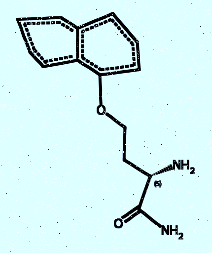 NC(=O)[C@@H](N)CCOc1cccc2ccccc12